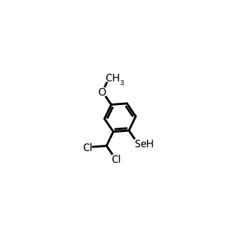 COc1ccc([SeH])c(C(Cl)Cl)c1